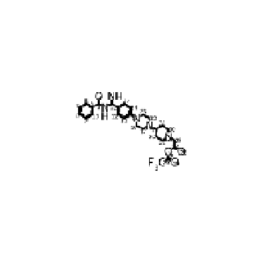 N=C(NC(=O)c1ccccc1)c1ccc(N2CCN(C3CCN(CC(=O)OC(=O)C(F)(F)F)CC3)CC2)cc1